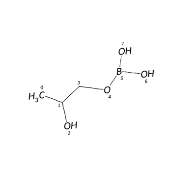 CC(O)COB(O)O